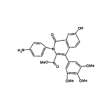 COC(=O)c1c(-c2cc(OC)c(OC)c(OC)c2)c2ccc(O)cc2c(=O)n1-c1ccc(N)cc1